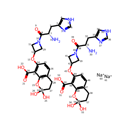 N[C@@H](Cc1c[nH]cn1)C(=O)N1CC(Oc2ccc3c(c2C(=O)O)O[B-](O)(O)CC3)C1.N[C@@H](Cc1c[nH]cn1)C(=O)N1CC(Oc2ccc3c(c2C(=O)O)O[B-](O)(O)CC3)C1.[Na+].[Na+]